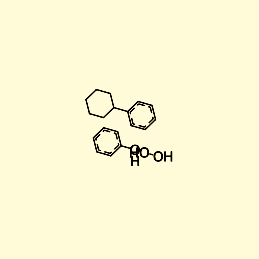 OO.Oc1ccccc1.c1ccc(C2CCCCC2)cc1